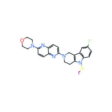 Fc1ccc2c(c1)c1c(n2SI)CCN(c2ccc3nc(N4CCOCC4)ccc3n2)C1